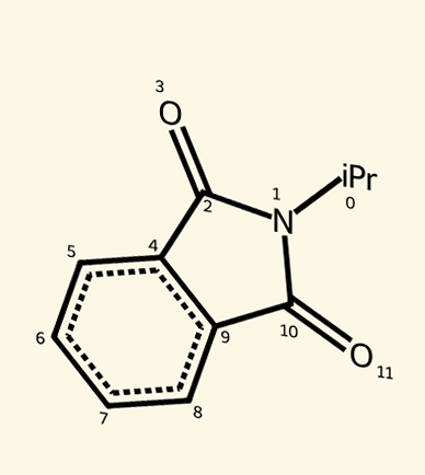 [CH2]C([CH2])N1C(=O)c2ccccc2C1=O